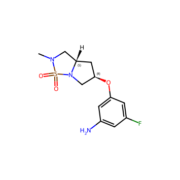 CN1C[C@@H]2C[C@@H](Oc3cc(N)cc(F)c3)CN2S1(=O)=O